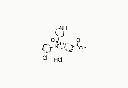 COC(=O)c1ccc(CN(c2cccc(Cl)c2)S(=O)(=O)C2CCNCC2)cc1.Cl